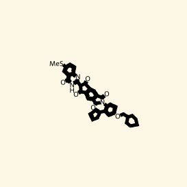 CSc1ccc2nc(C3C(=O)c4cc5c(cc4C3=O)C(=O)N(c3ccc(OCC4CCCCC4)cc3C3=CC=CC3)C5=O)[nH]c(=O)c2c1